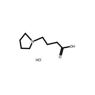 Cl.O=C(O)CCCN1CCCC1